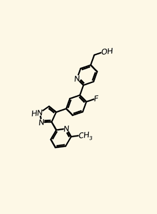 Cc1cccc(-c2n[nH]cc2-c2ccc(F)c(-c3ccc(CO)cn3)c2)n1